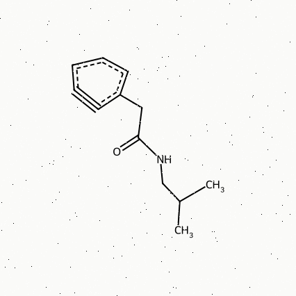 CC(C)CNC(=O)Cc1c#cccc1